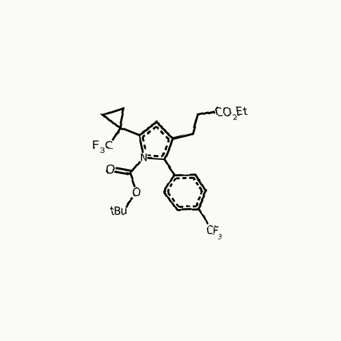 CCOC(=O)CCc1cc(C2(C(F)(F)F)CC2)n(C(=O)OC(C)(C)C)c1-c1ccc(C(F)(F)F)cc1